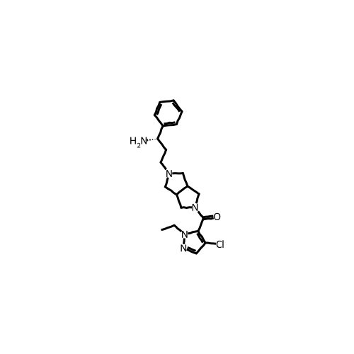 CCn1ncc(Cl)c1C(=O)N1CC2CN(CC[C@H](N)c3ccccc3)CC2C1